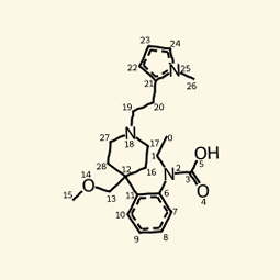 CCN(C(=O)O)c1ccccc1C1(COC)CCN(CCc2cccn2C)CC1